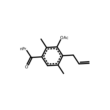 C=CCc1c(C)cc(C(=O)CCC)c(C)c1OC(C)=O